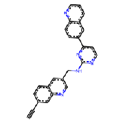 C#Cc1ccc2cc(CNc3nccc(-c4ccc5ncccc5c4)n3)cnc2c1